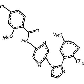 COc1ccc(C(F)(F)F)c(-c2nccn2-c2cnc(NC(=O)c3ccc(Cl)cc3OC)cn2)c1